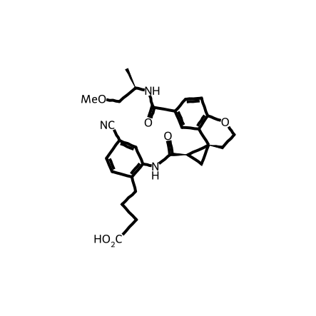 COC[C@@H](C)NC(=O)c1ccc2c(c1)[C@]1(CCO2)C[C@H]1C(=O)Nc1cc(C#N)ccc1CCCC(=O)O